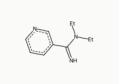 CCN(CC)C(=N)c1cccnc1